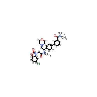 CN(C)C(=O)c1cccc(-c2ccc(C(CN3CCOCC3)N(C)C(=O)Cn3c(=O)oc4ccc(Cl)cc43)cc2)c1